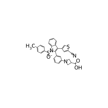 Cc1ccc([S+]([O-])n2c(-c3cccc(N4CC(C(=O)O)C4)c3)c(-c3csc(C#N)c3)c3ccccc32)cc1